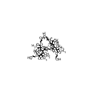 CC(C)C(C)(C(=O)OCCO)C(C)C(C(=O)NCCNC(=O)C(C(C)C(C)(C(=O)OCCO)C(C)C)C(C)C(C)(C(=O)OCCO)C(C)C)C(C)C(C)(C(=O)OCCO)C(C)C